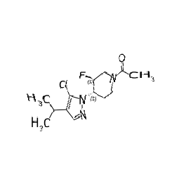 CC(=O)N1CC[C@H](n2ncc(C(C)C)c2Cl)[C@@H](F)C1